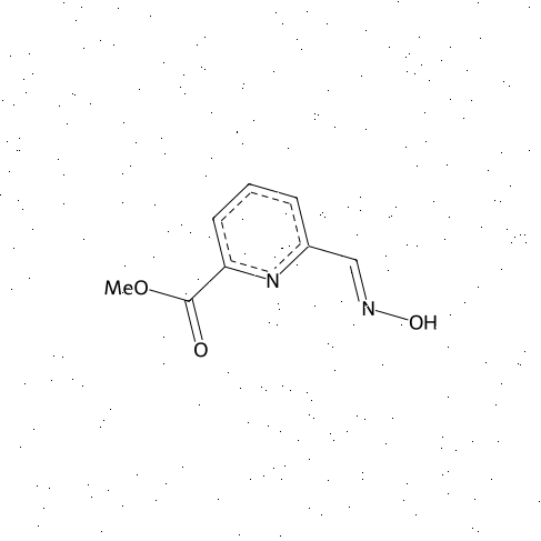 COC(=O)c1cccc(/C=N/O)n1